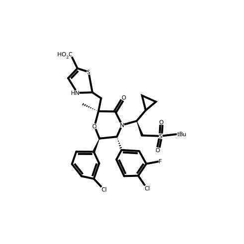 CC(C)(C)S(=O)(=O)C[C@H](C1CC1)N1C(=O)[C@](C)(CC2NC=C(C(=O)O)S2)O[C@H](c2cccc(Cl)c2)[C@H]1c1ccc(Cl)c(F)c1